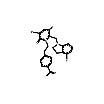 O=C(O)c1ccc(CCn2c(CN3CCc4c(F)cccc43)c(Cl)cc(Cl)c2=O)cc1